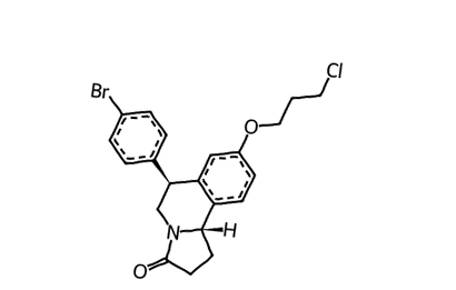 O=C1CC[C@H]2c3ccc(OCCCCl)cc3[C@H](c3ccc(Br)cc3)CN12